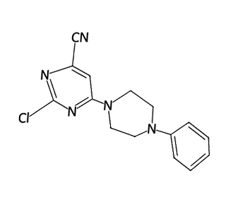 N#Cc1cc(N2CCN(c3ccccc3)CC2)nc(Cl)n1